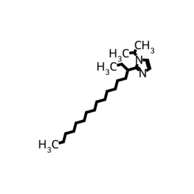 CCCCCCCCCCCCCCC(CC)c1nccn1C(C)C